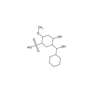 COC1CC(O)C(C(O)C2CCCCC2)CC1S(=O)(=O)O